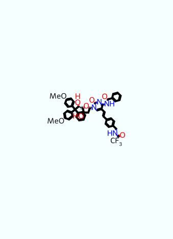 COc1ccc(C(c2ccccc2)(c2ccc(OC)cc2)C(O)[C@H]2O[C@@H](n3cc(C=Cc4ccc(CNC(=O)C(F)(F)F)cc4)c(NC(=O)c4ccccc4)nc3=O)C[C@@H]2O)cc1